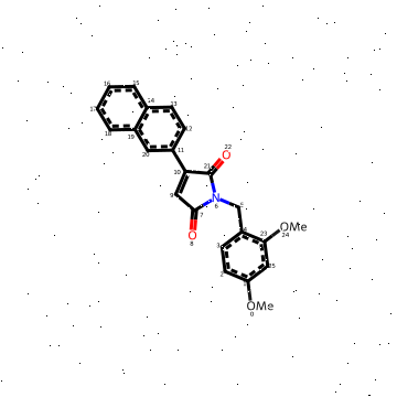 COc1ccc(CN2C(=O)C=C(c3ccc4ccccc4c3)C2=O)c(OC)c1